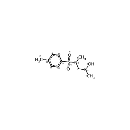 CB(O)CN(C)S(=O)(=O)c1ccc(C)cc1